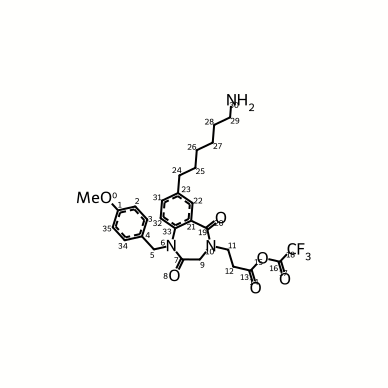 COc1ccc(CN2C(=O)CN(CCC(=O)OC(=O)C(F)(F)F)C(=O)c3cc(CCCCCCN)ccc32)cc1